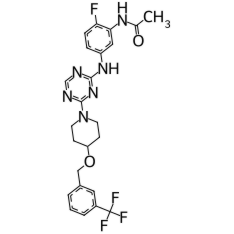 CC(=O)Nc1cc(Nc2ncnc(N3CCC(OCc4cccc(C(F)(F)F)c4)CC3)n2)ccc1F